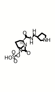 O=C(NNC1CCNC1)[C@@H]1CCC2CN1C(=O)N2OS(=O)(=O)O